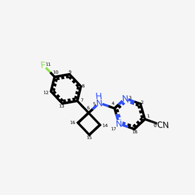 N#Cc1cnc(NC2(c3ccc(F)cc3)CCC2)nc1